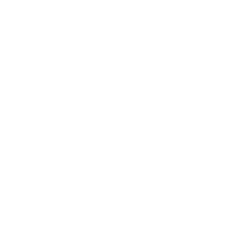 CCCCc1cc2cc(C)c1o2